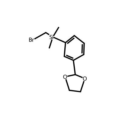 C[Si](C)(CBr)c1cccc(C2OCCO2)c1